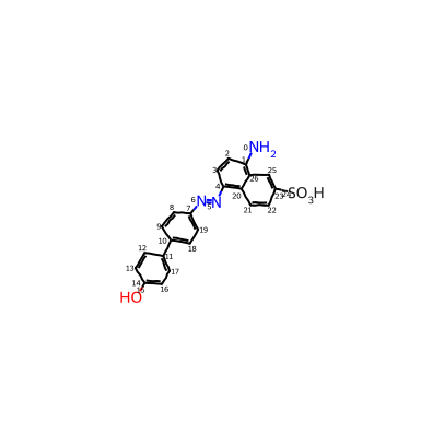 Nc1ccc(N=Nc2ccc(-c3ccc(O)cc3)cc2)c2ccc(S(=O)(=O)O)cc12